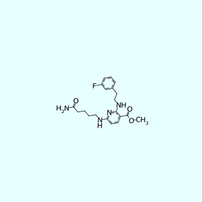 COC(=O)c1ccc(NCCCCC(N)=O)nc1NCCc1cccc(F)c1